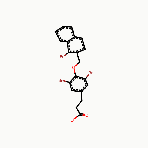 O=C(O)CCc1cc(Br)c(OCc2ccc3ccccc3c2Br)c(Br)c1